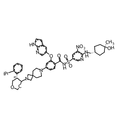 CC(C)c1ccccc1[C@H]1COCCC1N1CC2(CCN(c3ccc(C(=O)NS(=O)(=O)c4cnc(NC[C@H]5CC[C@](C)(O)CC5)c([N+](=O)[O-])c4)c(Oc4cnc5[nH]ccc5c4)c3)CC2)C1